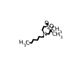 CCCCCCN1CCS(=O)(=O)C(C)(C)C1